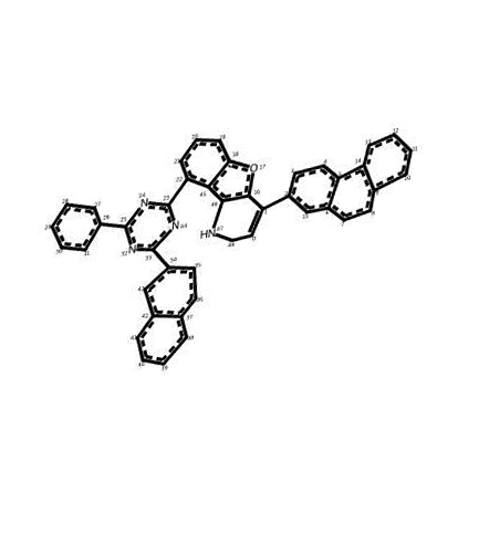 C1=C(c2ccc3c(ccc4ccccc43)c2)c2oc3cccc(-c4nc(-c5ccccc5)nc(-c5ccc6ccccc6c5)n4)c3c2NC1